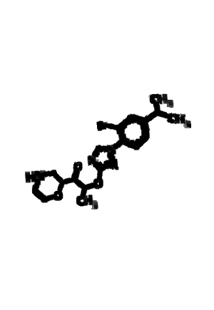 CC(Oc1ncn(-c2ccc(C(C)C)cc2Br)n1)C(=O)C1CNCCO1